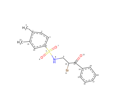 Cc1ccc(S(=O)(=O)NCC(Br)C(=O)c2ccccc2)cc1C